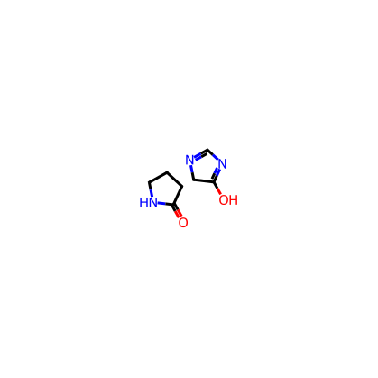 O=C1CCCN1.OC1=NC=NC1